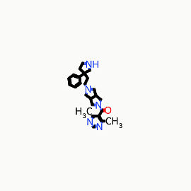 Cc1ncnc(C)c1C(=O)N1CC2CN(CCC3(c4ccccc4)CCNC3)CC2C1